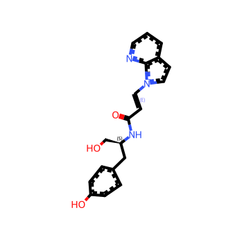 O=C(/C=C/n1ccc2cccnc21)N[C@H](CO)Cc1ccc(O)cc1